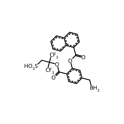 BCc1ccc(C(=O)OC(CS(=O)(=O)O)(C(F)(F)F)C(F)(F)F)c(OC(=O)c2cccc3ccccc23)c1